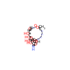 C[C@@H]1C\C=C/C=C/C=C/C=C/[C@H](O[C@@H]2O[C@@H]3NC3C(O)C2O)C[C@@H]2O[C@](O)(C[C@@H](O)C[C@H]3O[C@@H]3/C=C/C(=O)O1)C[C@H](O)[C@H]2C(=O)O